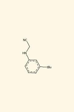 CC(C)(C)c1cccc(NCC#N)c1